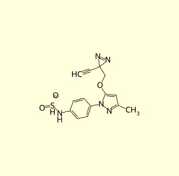 C#CC1(COc2cc(C)nn2-c2ccc(N[SH](=O)=O)cc2)N=N1